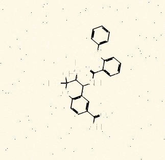 CC(=O)c1ccc2c(c1)C(NC(=O)c1ccccc1Oc1ccccc1)C(O)C(C)(C)O2